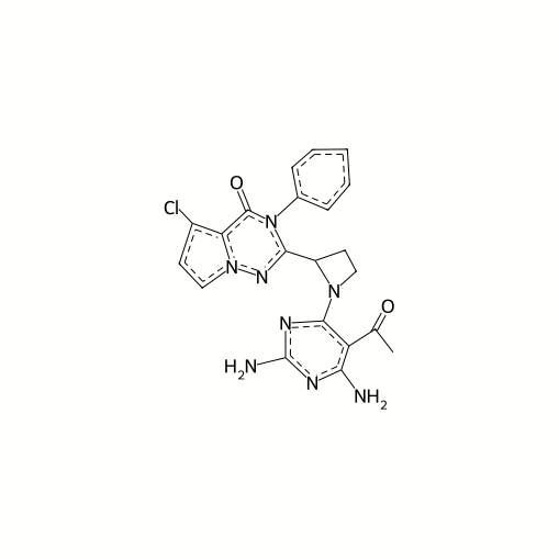 CC(=O)c1c(N)nc(N)nc1N1CCC1c1nn2ccc(Cl)c2c(=O)n1-c1ccccc1